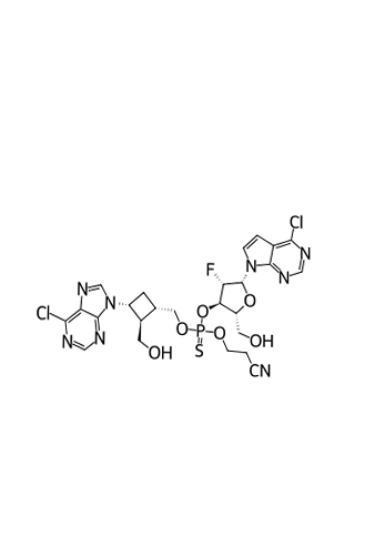 N#CCCOP(=S)(OC[C@H]1C[C@@H](n2cnc3c(Cl)ncnc32)[C@@H]1CO)O[C@H]1[C@H](F)[C@H](n2ccc3c(Cl)ncnc32)O[C@@H]1CO